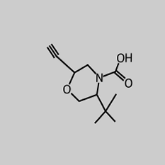 C#CC1CN(C(=O)O)C(C(C)(C)C)CO1